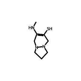 CNC1=C(S)CN2CCCN2C1